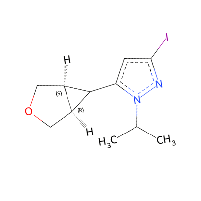 CC(C)n1nc(I)cc1C1[C@H]2COC[C@@H]12